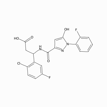 O=C(O)CC(NC(=O)c1cc(O)n(-c2ccccc2F)n1)c1cc(F)ccc1Cl